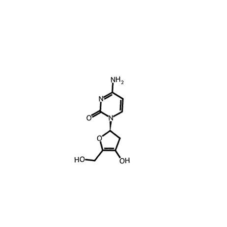 Nc1ccn([C@H]2CC(O)=C(CO)O2)c(=O)n1